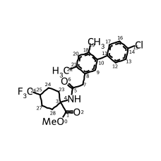 COC(=O)C1(NC(=O)Cc2cc(-c3ccc(Cl)cc3)c(C)cc2C)CCC(C(F)(F)F)CC1